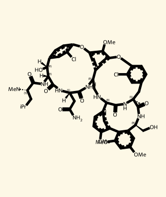 CN[C@@H](CC(C)C)C(=O)N[C@H]1C(=O)N[C@@H](CC(N)=O)C(=O)N[C@H]2CN[C@H]3C(=O)N[C@@H](Cc4ccc(c(Cl)c4)Oc4cc2cc(c4OC)Oc2ccc(cc2Cl)[C@H]1O)C(=O)N[C@@H](CO)c1cc(OC)cc(OC)c1-c1cc3ccc1OC